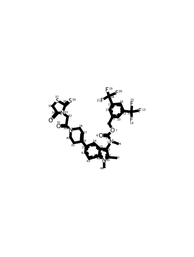 Cc1c(N(C)C(=O)OCc2cc(C(F)(F)F)cc(C(F)(F)F)c2)c2cc(C3=CCN(C(=O)CN4C(=O)CSC4=S)CC3)ccc2n1C